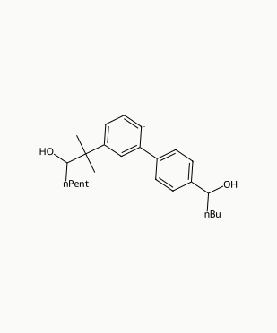 CCCCCC(O)C(C)(C)c1cc[c]c(-c2ccc(C(O)CCCC)cc2)c1